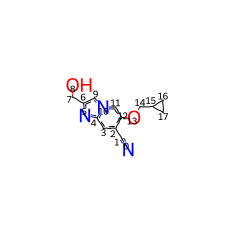 N#Cc1cc2nc(CO)cn2cc1OCC1CC1